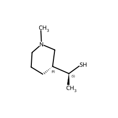 C[C@H](S)[C@@H]1CCCN(C)C1